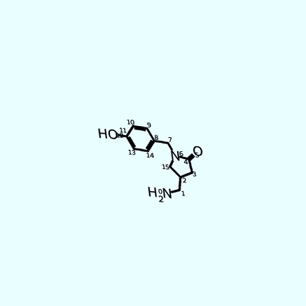 NCC1CC(=O)N(Cc2ccc(O)cc2)C1